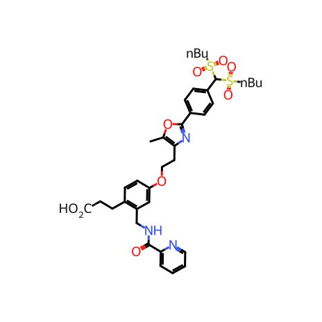 CCCCS(=O)(=O)C(c1ccc(-c2nc(CCOc3ccc(CCC(=O)O)c(CNC(=O)c4ccccn4)c3)c(C)o2)cc1)S(=O)(=O)CCCC